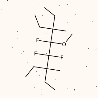 CCC(C)(CC)C(F)(F)C(F)(OC)C(C)(CC)CC